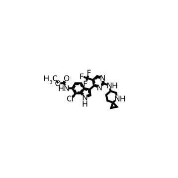 COC(=O)Nc1ccc2c(-c3nc(NC4CCC5(CC5)NC4)ncc3C(F)(F)F)c[nH]c2c1Cl